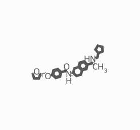 C[C@@H](NCC1CCCC1)c1ccc2c(c1)CC[C@H](NC(=O)c1ccc(OC[C@@H]3CCCO3)cc1)C2